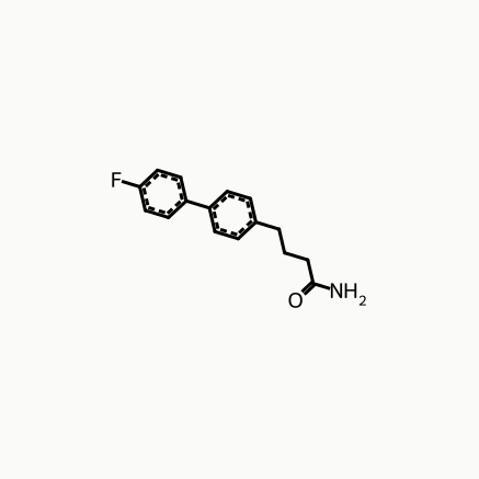 NC(=O)CCCc1ccc(-c2ccc(F)cc2)cc1